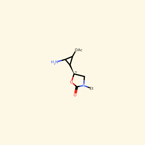 CCN1C[C@H](C2C(N)C2OC(C)=O)OC1=O